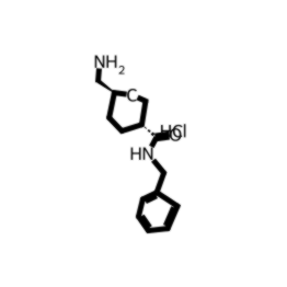 Cl.NC[C@H]1CC[C@H](C(=O)NCc2ccccc2)CC1